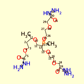 CC(CCOCC(=O)NN)OCC(COCCOCC(=O)NN)P(C)OCCOCC(=O)NN